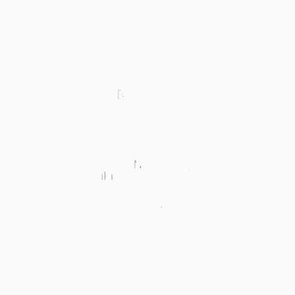 CC(C)N1C(=O)CCc2ccbcc21